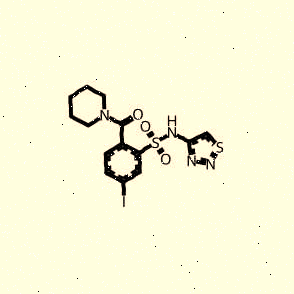 O=C(c1ccc(I)cc1S(=O)(=O)Nc1csnn1)N1CCCCC1